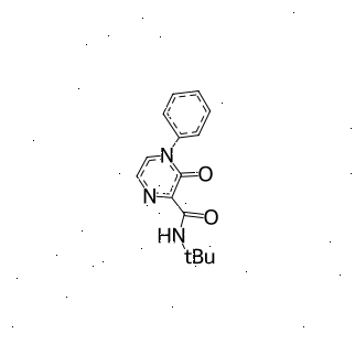 CC(C)(C)NC(=O)c1nccn(-c2ccccc2)c1=O